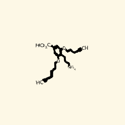 C#CCCCCOc1cc(C(=O)O)cc(OCCCC#C)c1CCCN